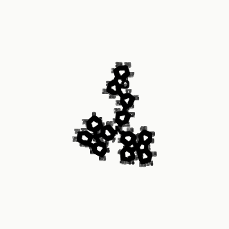 c1ccc(C2(c3ccc(N(c4ccc(-c5cccc(-c6cccc7c6oc6ccccc67)c5)cc4)c4ccc(C5(c6ccccc6)c6ccccc6-c6ccccc65)cc4)cc3)c3ccccc3-c3ccccc32)cc1